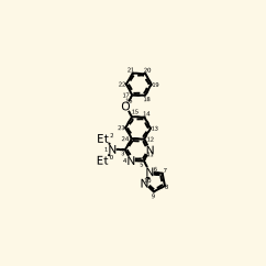 CCN(CC)c1nc(-n2cccn2)nc2ccc(Oc3ccccc3)cc12